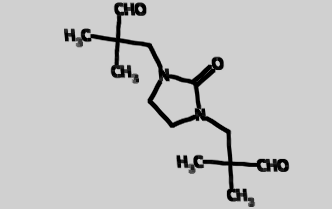 CC(C)(C=O)CN1CCN(CC(C)(C)C=O)C1=O